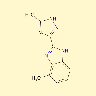 Cc1nc(-c2nc3c(C)cccc3[nH]2)n[nH]1